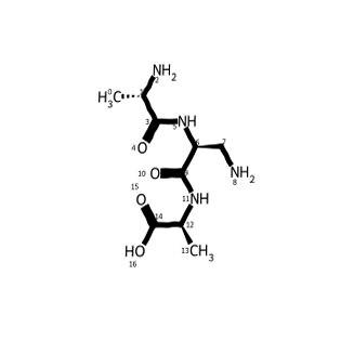 C[C@H](N)C(=O)N[C@@H](CN)C(=O)N[C@@H](C)C(=O)O